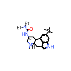 CCN(CC)C(=O)N[C@H]1CC2c3cc([Si](C)(C)C)cc4[nH]cc(c34)C[C@H]2N(C)C1